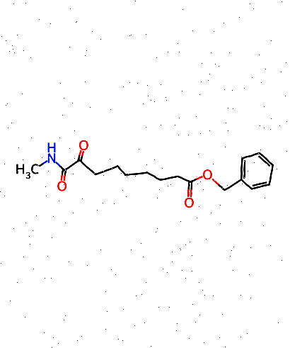 CNC(=O)C(=O)CCCCCCC(=O)OCc1ccccc1